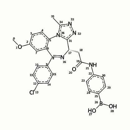 COc1ccc2c(c1)C(c1ccc(Cl)cc1)=N[C@@H](CC(=O)Nc1ccc(B(O)O)cc1)c1nnc(C)n1-2